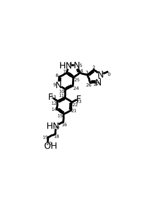 Cn1cc(-c2n[nH]c3cnc(-c4c(F)cc(CNCCO)cc4F)cc23)cn1